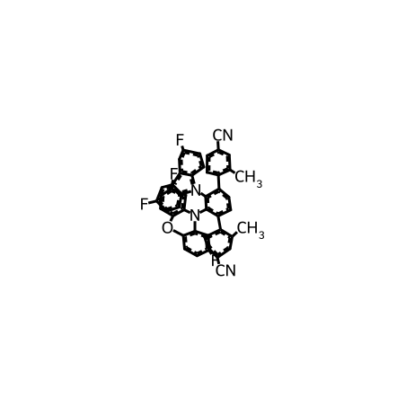 Cc1cc(C#N)ccc1-c1ccc(-c2ccc(C#N)cc2C)c(-n2c3ccc(F)cc3c3cc(F)ccc32)c1N1c2cc(F)ccc2Oc2ccc(F)cc21